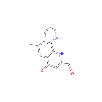 Cc1cc2c(=O)cc(C=O)[nH]c2c2ncccc12